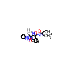 CCC(CC)C(=O)Nc1onc(-c2c(C)nn(-c3ccccc3)c2C)c1-c1ccccc1C(N)=O